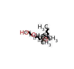 CCCC[Si](C)(C)O[Si](C)(C)CCCOCCO